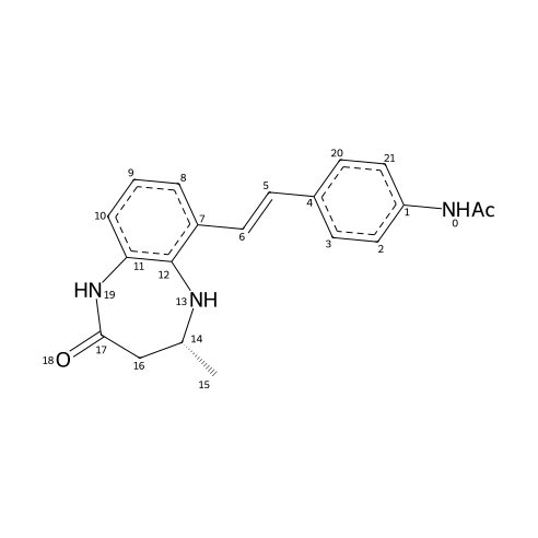 CC(=O)Nc1ccc(/C=C/c2cccc3c2N[C@H](C)CC(=O)N3)cc1